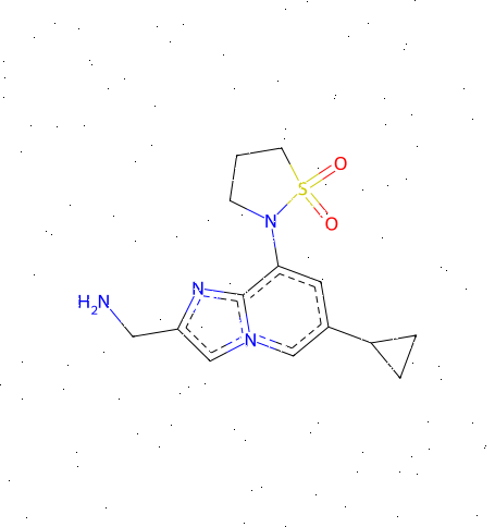 NCc1cn2cc(C3CC3)cc(N3CCCS3(=O)=O)c2n1